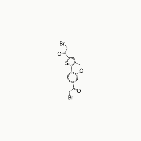 O=C(CBr)c1ccc2c(c1)OCc1cc(C(=O)CBr)sc1-2